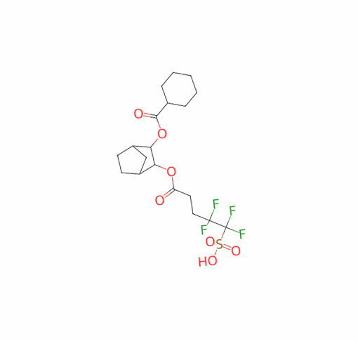 O=C(CCC(F)(F)C(F)(F)S(=O)(=O)O)OC1C2CCC(C2)C1OC(=O)C1CCCCC1